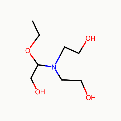 CCOC(CO)N(CCO)CCO